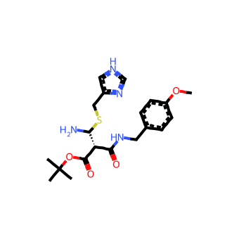 COc1ccc(CNC(=O)[C@H](C(=O)OC(C)(C)C)C(N)SCc2c[nH]cn2)cc1